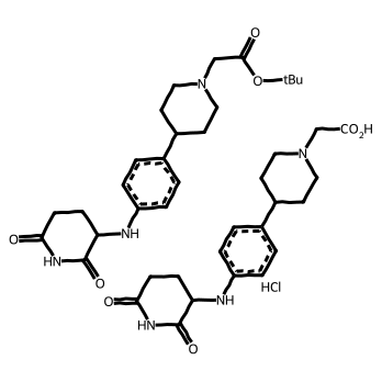 CC(C)(C)OC(=O)CN1CCC(c2ccc(NC3CCC(=O)NC3=O)cc2)CC1.Cl.O=C(O)CN1CCC(c2ccc(NC3CCC(=O)NC3=O)cc2)CC1